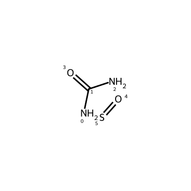 NC(N)=O.O=S